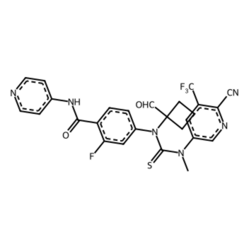 CN(C(=S)N(c1ccc(C(=O)Nc2ccncc2)c(F)c1)C1(C=O)CCC1)c1cnc(C#N)c(C(F)(F)F)c1